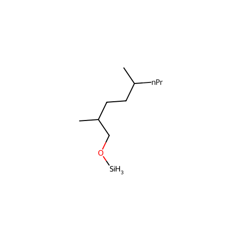 CCCC(C)CCC(C)CO[SiH3]